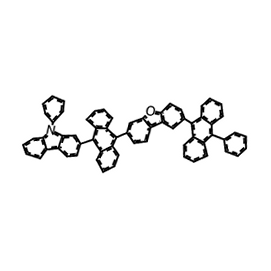 c1ccc(-c2c3ccccc3c(-c3ccc4oc5cc(-c6c7ccccc7c(-c7ccc8c9ccccc9n(-c9ccccc9)c8c7)c7ccccc67)ccc5c4c3)c3ccccc23)cc1